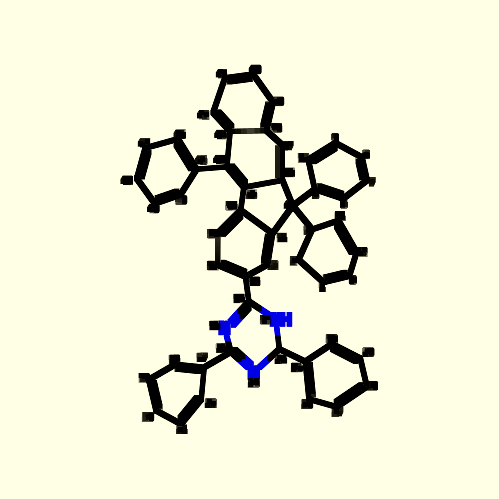 C1=CCC(C2(c3ccccc3)c3cc(C4=NC(c5ccccc5)=NC(c5ccccc5)N4)ccc3-c3c2cc2ccccc2c3-c2ccccc2)C=C1